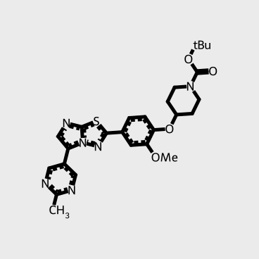 COc1cc(-c2nn3c(-c4cnc(C)nc4)cnc3s2)ccc1OC1CCN(C(=O)OC(C)(C)C)CC1